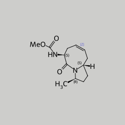 COC(=O)N[C@H]1C/C=C\C[C@@H]2CC[C@@H](C)N2C1=O